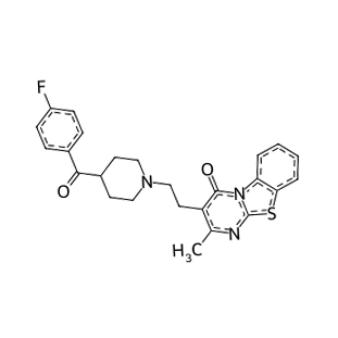 Cc1nc2sc3ccccc3n2c(=O)c1CCN1CCC(C(=O)c2ccc(F)cc2)CC1